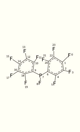 Fc1c(F)c(F)c(P(F)c2c(F)c(F)c(F)c(F)c2F)c(F)c1F